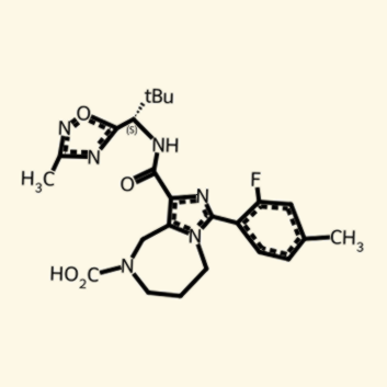 Cc1ccc(-c2nc(C(=O)N[C@H](c3nc(C)no3)C(C)(C)C)c3n2CCCN(C(=O)O)C3)c(F)c1